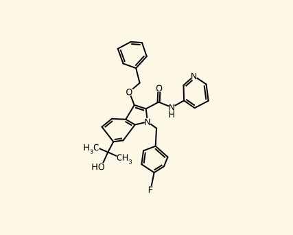 CC(C)(O)c1ccc2c(OCc3ccccc3)c(C(=O)Nc3cccnc3)n(Cc3ccc(F)cc3)c2c1